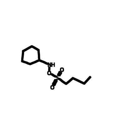 CCCCS(=O)(=O)ONC1CCCCC1